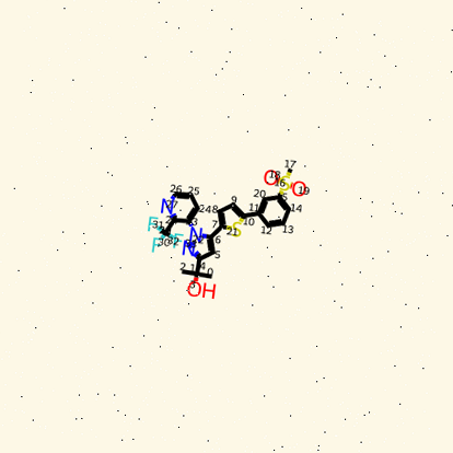 CC(C)(O)c1cc(-c2ccc(-c3cccc(S(C)(=O)=O)c3)s2)n(-c2cccnc2C(F)(F)F)n1